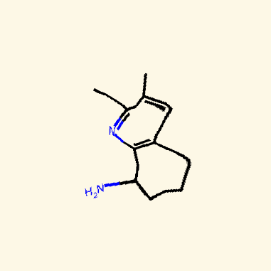 Cc1cc2c(nc1C)C(N)CCC2